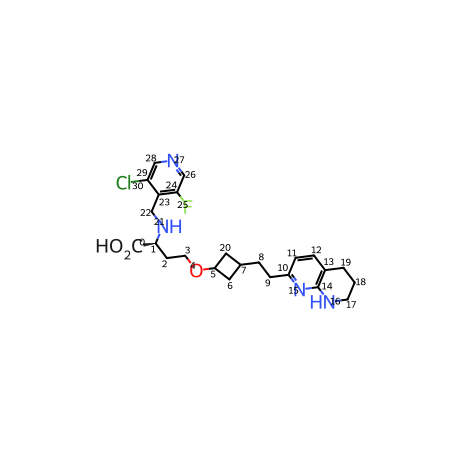 O=C(O)[C@H](CCOC1CC(CCc2ccc3c(n2)NCCC3)C1)NCc1c(F)cncc1Cl